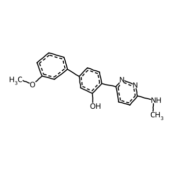 CNc1ccc(-c2ccc(-c3cccc(OC)c3)cc2O)nn1